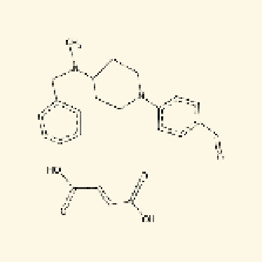 CN(Cc1ccccc1)C1CCN(c2ccc(C=O)cc2)CC1.O=C(O)/C=C/C(=O)O